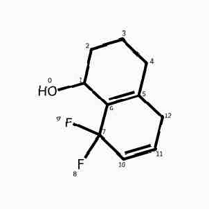 OC1CCCC2=C1C(F)(F)C=CC2